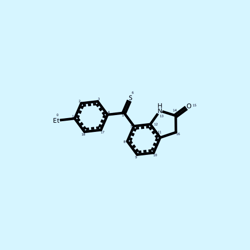 CCc1ccc(C(=S)c2cccc3c2NC(=O)C3)cc1